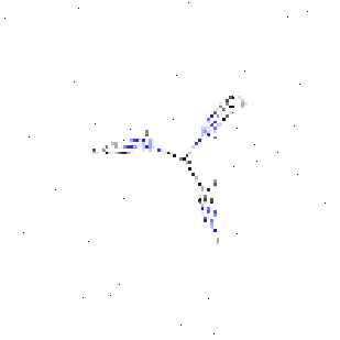 [C-]#[N+]C(C#N)[N+]#[C-]